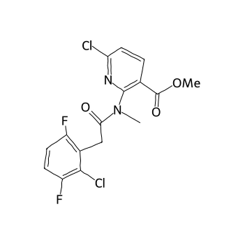 COC(=O)c1ccc(Cl)nc1N(C)C(=O)Cc1c(F)ccc(F)c1Cl